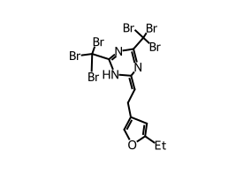 CCc1cc(CC=C2N=C(C(Br)(Br)Br)N=C(C(Br)(Br)Br)N2)co1